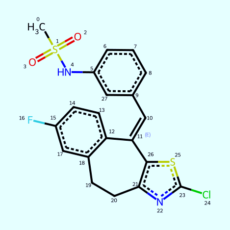 CS(=O)(=O)Nc1cccc(/C=C2\c3ccc(F)cc3CCc3nc(Cl)sc32)c1